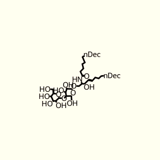 CCCCCCCCCCCCCC=CC(O)C(COC1OC(CO)C(OC2OC(CO)C(O)C(O)C2O)C(O)C1O)NC(=O)CCCCCCCCCCCCCCC